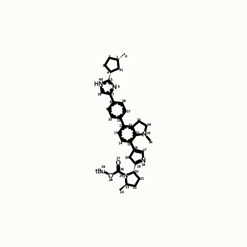 C[C@H]1CC[C@@H](c2nc(-c3ccc(-c4ccc(C5=CN=C([C@@H]6CC[C@@H](C)N6C(=O)OC(C)(C)C)C5)c5c4CCN5C)cc3)c[nH]2)C1